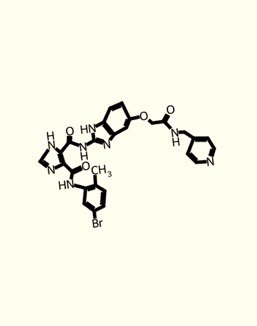 Cc1ccc(Br)cc1NC(=O)c1nc[nH]c1C(=O)Nc1nc2cc(OCC(=O)NCc3ccncc3)ccc2[nH]1